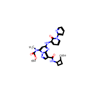 COC1CCC1NC(=O)c1cnn2c(N(C)C(=O)OC(C)(C)C)cc(Nc3cccn(-c4ccccn4)c3=O)nc12